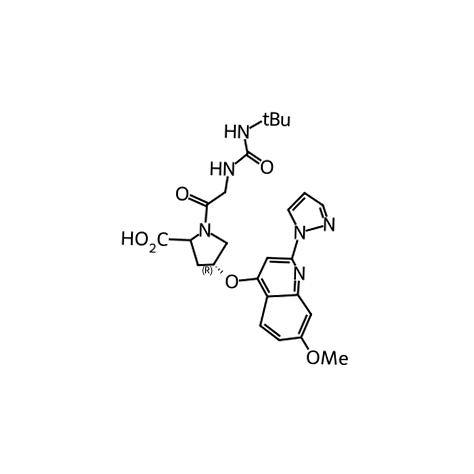 COc1ccc2c(O[C@@H]3CC(C(=O)O)N(C(=O)CNC(=O)NC(C)(C)C)C3)cc(-n3cccn3)nc2c1